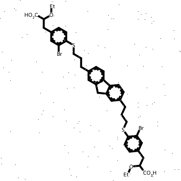 CCOC(Cc1ccc(SCCCc2ccc3c(c2)Cc2cc(CCCSc4ccc(CC(OCC)C(=O)O)cc4Br)ccc2-3)c(Br)c1)C(=O)O